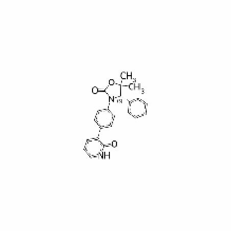 CC1(C)OC(=O)N(c2ccc(-c3ccc[nH]c3=O)cc2)[C@H]1c1ccccc1